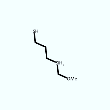 COC[SiH2]CCCS